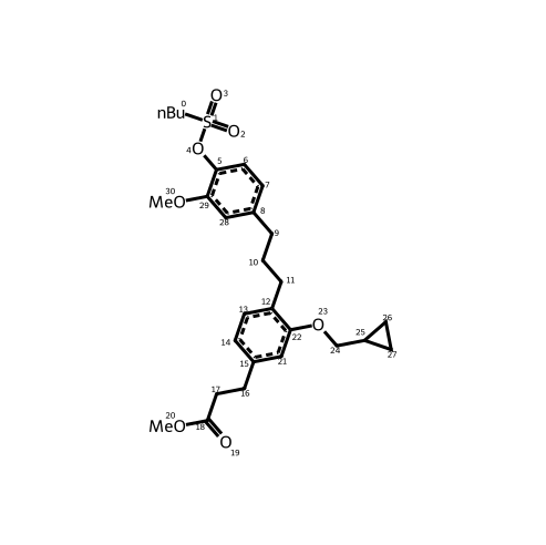 CCCCS(=O)(=O)Oc1ccc(CCCc2ccc(CCC(=O)OC)cc2OCC2CC2)cc1OC